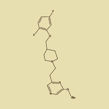 CC(C)(C)Oc1cncc(CCN2CCC(COc3cc(F)ccc3F)CC2)n1